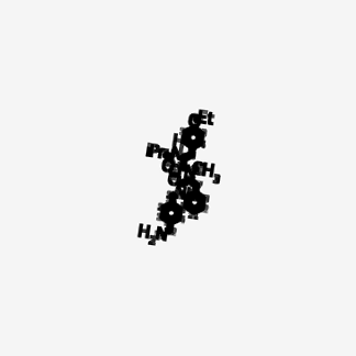 CCOc1ccc(CC(NC(=O)C(C)C)C(=O)N(C)C(Cc2ccccc2)C(=O)NCc2ccc(CN)cc2)cc1